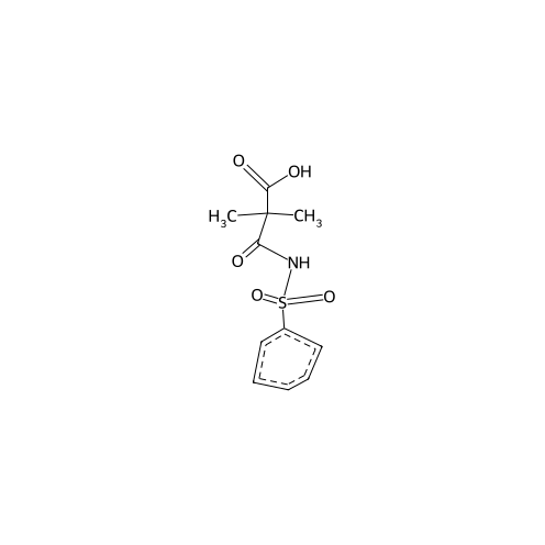 CC(C)(C(=O)O)C(=O)NS(=O)(=O)c1ccccc1